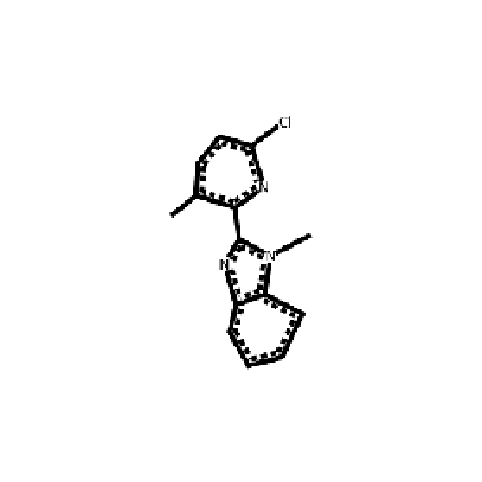 Cc1ccc(Cl)nc1-c1nc2ccccc2n1C